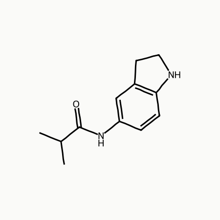 CC(C)C(=O)Nc1ccc2c(c1)CCN2